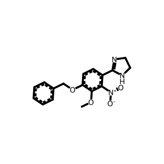 COc1c(OCc2ccccc2)ccc(C2=NCCN2)c1[N+](=O)[O-]